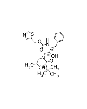 CC(C)CN(C[C@@H](O)[C@H](Cc1ccccc1)NC(=O)OCc1cncs1)C(=O)OC(C)(C)C